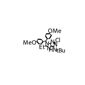 CCc1nc2c(NC(C)(C)C)nc(Cl)nc2n1C(c1ccc(OC)cc1)c1ccc(OC)cc1